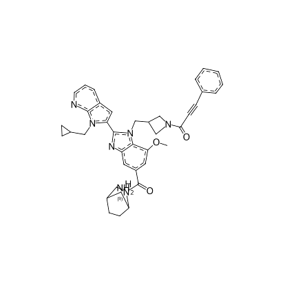 COc1cc(C(=O)N2CC3CCC2[C@@H]3N)cc2nc(-c3cc4cccnc4n3CC3CC3)n(CC3CN(C(=O)C#Cc4ccccc4)C3)c12